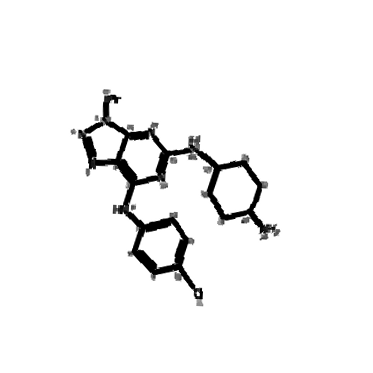 CC(C)n1nnc2c(Nc3ccc(Cl)cc3)nc(NC3CCC(N)CC3)nc21